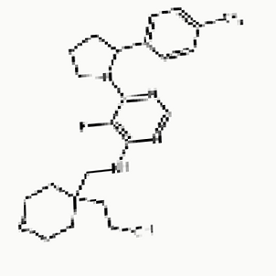 OCCC1(CNc2ncnc(N3CCCC3c3ccc(C(F)(F)F)cc3)c2F)CCOCC1